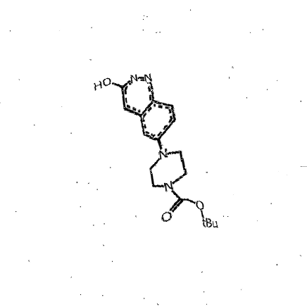 CC(C)(C)OC(=O)N1CCN(c2ccc3nnc(O)cc3c2)CC1